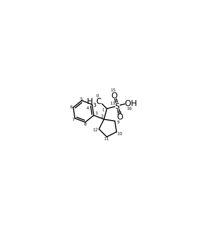 CC(C1(c2ccccc2)CCCC1)S(=O)(=O)O